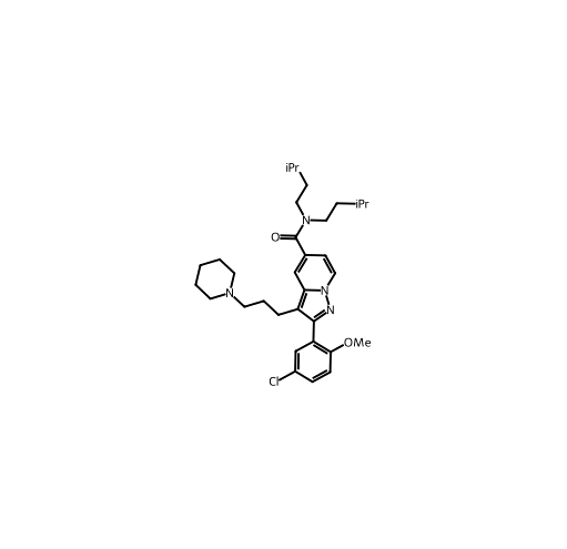 COc1ccc(Cl)cc1-c1nn2ccc(C(=O)N(CCC(C)C)CCC(C)C)cc2c1CCCN1CCCCC1